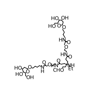 CCNC(CCC=O)(CCC(=O)NCCOCC(=O)NCCCCOC1CC(O)C(O)C(CO)O1)CCC(=O)NCCOCC(=O)NCCCCOC1CC(O)C(O)C(CO)O1